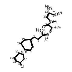 CCC[C@H](NC(O)CCC1=CC[C@H](C2CCCC(Cl)C2)CC1)C(=O)NC[C@H](N)O